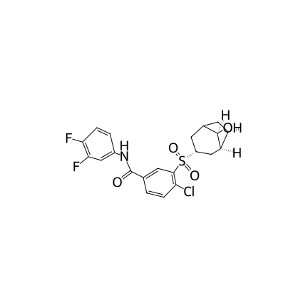 C[C@H]1CC2C[C@@H](S(=O)(=O)c3cc(C(=O)Nc4ccc(F)c(F)c4)ccc3Cl)C[C@H]1[C@@H]2O